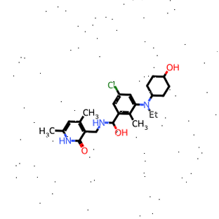 CCN(c1cc(Cl)cc(C(O)NCc2c(C)cc(C)[nH]c2=O)c1C)C1CCC(O)CC1